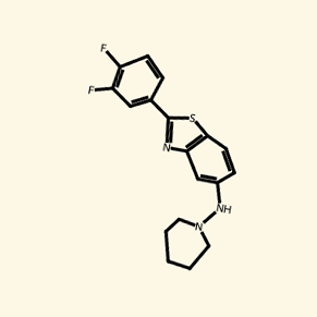 Fc1ccc(-c2nc3cc(NN4CCCCC4)ccc3s2)cc1F